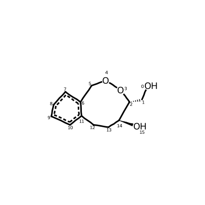 OC[C@H]1OOCc2ccccc2CC[C@@H]1O